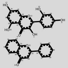 O=c1c(O)c(-c2ccc(O)cc2O)oc2cc(O)cc(O)c12.O=c1cc(-c2ccccc2)oc2ccccc12